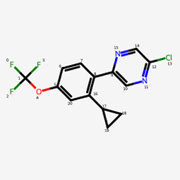 FC(F)(F)Oc1ccc(-c2cnc(Cl)cn2)c(C2CC2)c1